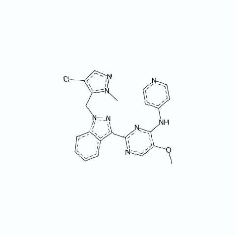 COc1cnc(-c2nn(Cc3c(Cl)cnn3C)c3ccccc23)nc1Nc1ccncc1